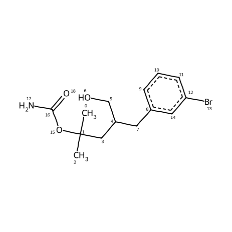 CC(C)(CC(CO)Cc1cccc(Br)c1)OC(N)=O